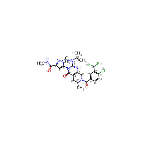 CNC(=O)c1cc(-n2c(NC(C)C)nc3c(c2=O)C[C@@H](C)N(C(=O)c2ccc(Cl)c(C(F)F)c2)C3)n(C)n1